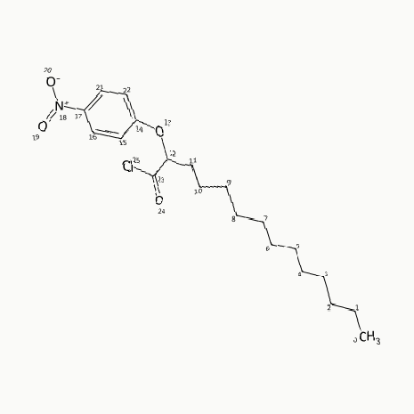 CCCCCCCCCCCCC(Oc1ccc([N+](=O)[O-])cc1)C(=O)Cl